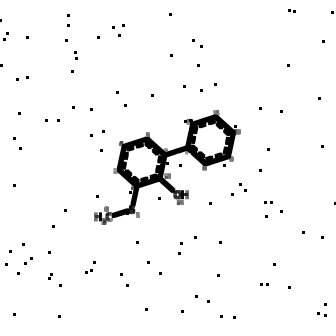 CSc1cccc(-c2ccccc2)c1O